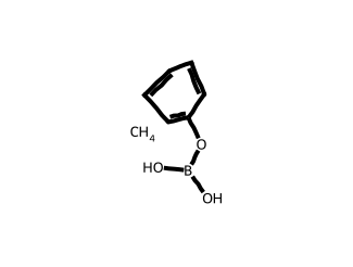 C.OB(O)Oc1ccccc1